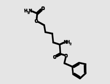 NC(=O)OCCCCC(N)C(=O)OCc1ccccc1